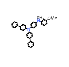 COc1cccc(N(C)c2ccc(N(c3ccc(-c4ccccc4)cc3)c3ccc(-c4ccccc4)cc3)cc2)c1